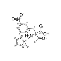 CC(=O)C(N)(Cc1cccc([N+](=O)[O-])c1)C(=O)O.c1cc2cc-2c1